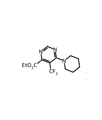 CCOC(=O)c1n[c]nc(N2CCCCC2)c1C(F)(F)F